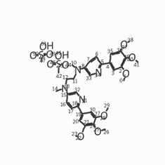 COc1cc(-c2ccc(N(C)CCN(C)c3ccc(-c4cc(OC)c(OC)c(OC)c4)nc3)cn2)cc(OC)c1OC.CS(=O)(=O)O.CS(=O)(=O)O